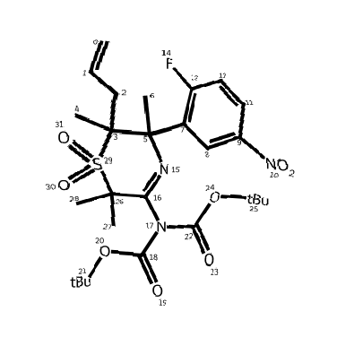 C=CCC1(C)C(C)(c2cc([N+](=O)[O-])ccc2F)N=C(N(C(=O)OC(C)(C)C)C(=O)OC(C)(C)C)C(C)(C)S1(=O)=O